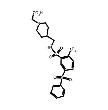 O=C(O)CN1CCC(CNS(=O)(=O)c2cc(S(=O)(=O)c3ccccc3)ccc2C(F)(F)F)CC1